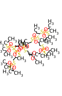 CCOC(=O)CCSP(=S)(OC(C)CSP(=S)(OC(C)CSP(=S)(OC(C)C)OC(C)C)OC(C)CSP(=S)(OC(C)C)OC(C)C)OC(C)CSP(=S)(OC(C)CSP(=S)(OC(C)C)OC(C)C)OC(C)CSP(=S)(OC(C)C)OC(C)C